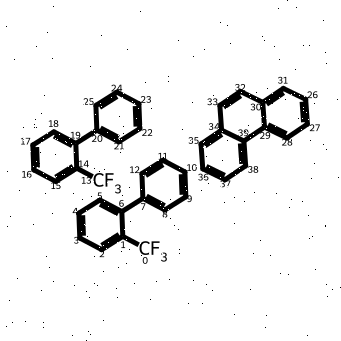 FC(F)(F)c1ccccc1-c1ccccc1.FC(F)(F)c1ccccc1-c1ccccc1.c1ccc2c(c1)ccc1ccccc12